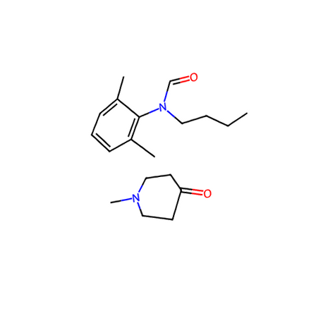 CCCCN(C=O)c1c(C)cccc1C.CN1CCC(=O)CC1